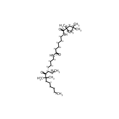 CCCCCCC(C)(C)C(=O)[C@H](CCCCNC(=O)CCCCCNC(=O)C(C)(C)CC(C)(C)C)NC